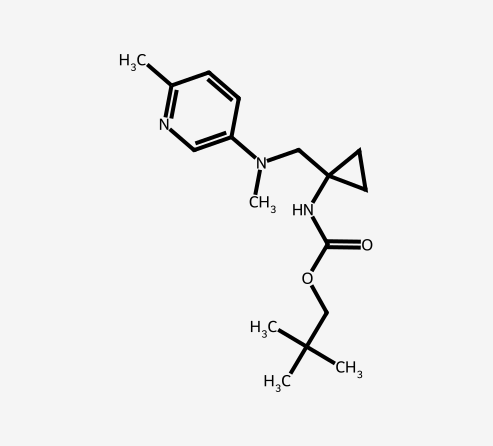 Cc1ccc(N(C)CC2(NC(=O)OCC(C)(C)C)CC2)cn1